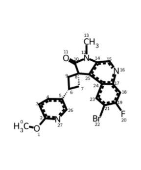 COc1ccc([C@H]2C[C@]3(C2)C(=O)N(C)c2cnc4cc(F)c(Br)cc4c23)cn1